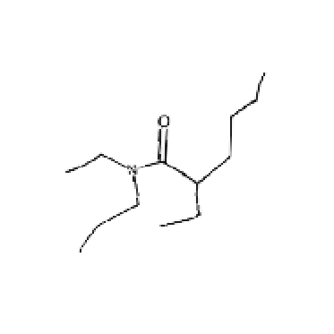 CCCCC(CC)C(=O)N(CC)CCC